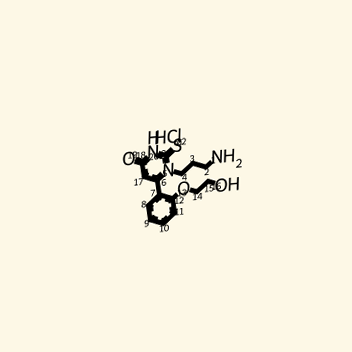 Cl.NCCCn1c(-c2ccccc2OCCO)cc(=O)[nH]c1=S